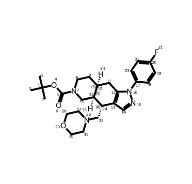 CC(C)(C)OC(=O)N1CC[C@H]2Cc3c(cnn3-c3ccc(F)cc3)[C@H](CN3CCOCC3)[C@H]2C1